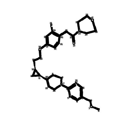 COCc1cnc(N2CCC([C@H]3C[C@H]3CCOc3ccc(CC(=O)N4CCOCC4)c(F)c3)CC2)nc1